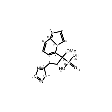 COC(CCc1nnn[nH]1)(c1cccc2nccn12)P(=O)(O)O